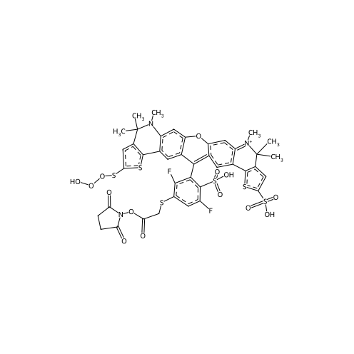 CN1c2cc3c(cc2-c2sc(SOOO)cc2C1(C)C)C(c1c(F)c(SCC(=O)ON2C(=O)CCC2=O)cc(F)c1S(=O)(=O)O)=c1cc2c(cc1O3)=[N+](C)C(C)(C)c1cc(S(=O)(=O)O)sc1-2